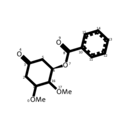 COC1CC(=O)C[C@@H](OC(=O)c2ccccc2)C1OC